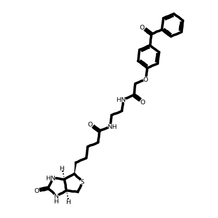 O=C(CCCC[C@H]1SC[C@H]2NC(=O)N[C@H]21)NCCNC(=O)COc1ccc(C(=O)c2ccccc2)cc1